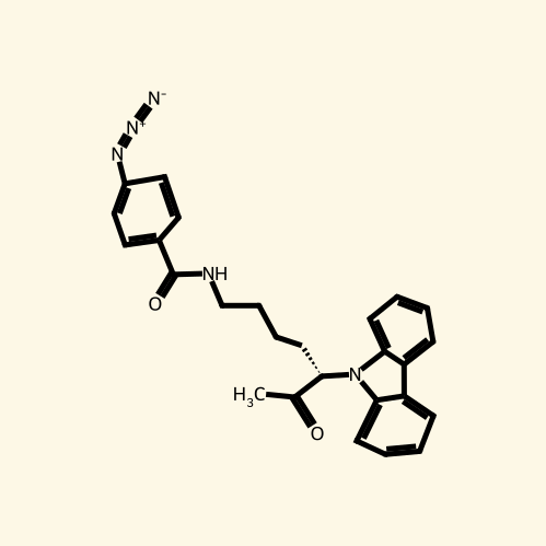 CC(=O)[C@H](CCCCNC(=O)c1ccc(N=[N+]=[N-])cc1)n1c2ccccc2c2ccccc21